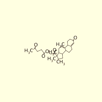 CC(=O)CCC(=O)OCC(=O)[C@@]1(C)[C@H](C)CC2C3CCC4=CC(=O)CC[C@]4(C)C3=CC[C@@]21C